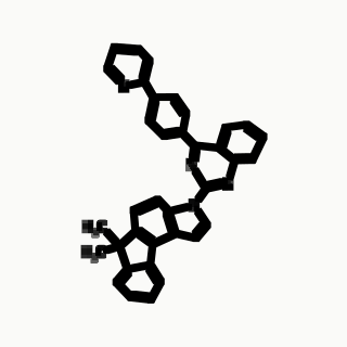 CC1(C)c2ccccc2-c2c1ccc1c2ccn1-c1nc(-c2ccc(-c3ccccn3)cc2)c2ccccc2n1